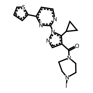 O=C(c1cnn(-c2nccc(-c3cccs3)n2)c1C1CC1)N1CCN(I)CC1